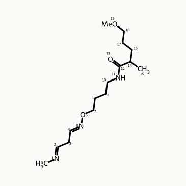 CN=CCC=NOCCCCNC(=O)C(C)CCCOC